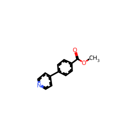 COC(=O)c1ccc(-c2ccncc2)cc1